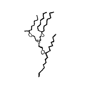 CCCCCCCC(CCCCCCC)OCCN(CCOC(C)CCCCCC)CCOC(CCCCCCC)CCCCCCC